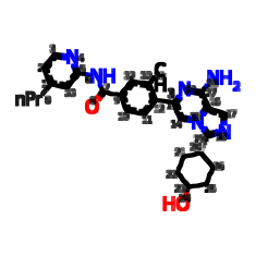 CCCc1ccnc(NC(=O)c2ccc(-c3cn4c(cnc4[C@H]4CC[C@H](O)CC4)c(N)n3)c(C)c2)c1